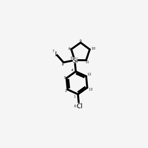 Clc1ccc([Si]2(CI)CCCC2)cc1